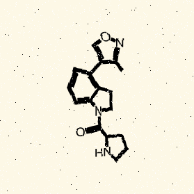 Cc1nocc1-c1cccc2c1CCN2C(=O)C1CCCN1